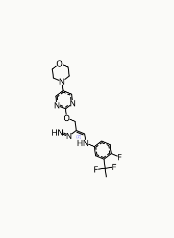 CC(F)(F)c1cc(N/C=C(/COc2ncc(N3CCOCC3)cn2)N=N)ccc1F